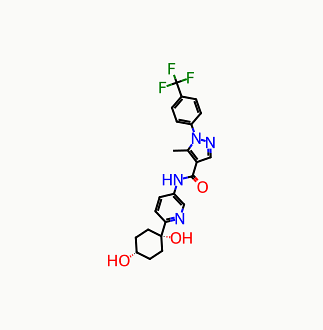 Cc1c(C(=O)Nc2ccc([C@]3(O)CC[C@@H](O)CC3)nc2)cnn1-c1ccc(C(F)(F)F)cc1